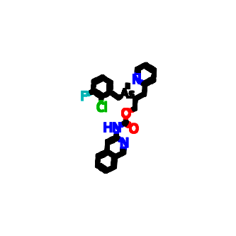 C[As](Cc1cccc(F)c1Cl)C(COC(=O)Nc1cc2ccccc2cn1)Cc1ccccn1